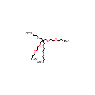 CCCOCCOCC(COCCOCCOC)(COCCOCCOC)COCCOCCOC